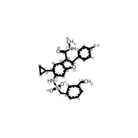 C=Cc1cccc(CS(=O)(=O)Nc2cc3oc(-c4ccc(F)cc4)c(C(=O)NC)c3cc2C2CC2)c1